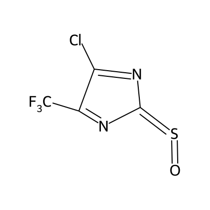 O=S=C1N=C(Cl)C(C(F)(F)F)=N1